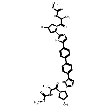 COC(=O)N[C@@H](C)C(=O)N1C[C@H](O)C[C@H]1c1ncc(-c2ccc(-c3ccc(-c4cnc([C@@H]5C[C@@H](O)CN5C(=O)[C@H](C)NC(=O)OC)[nH]4)cc3)cc2)[nH]1